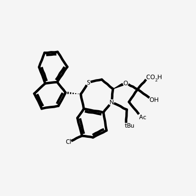 CC(=O)CC(O)(O[C@@H]1CS[C@@H](c2cccc3ccccc23)c2cc(Cl)ccc2N1CC(C)(C)C)C(=O)O